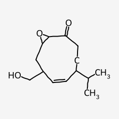 CC(C)C1/C=C\C(CO)CC2OC2C(=O)CC1